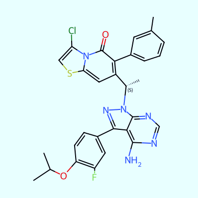 Cc1cccc(-c2c([C@H](C)n3nc(-c4ccc(OC(C)C)c(F)c4)c4c(N)ncnc43)cc3scc(Cl)n3c2=O)c1